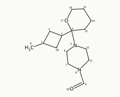 CC1CC(C2(N3CCN(C=O)CC3)CCCCO2)C1